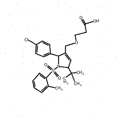 Cc1ccccc1S(=O)(=O)N1C(c2ccc(Cl)cc2)C(COCCC(=O)O)=CC1C(C)(C)C